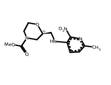 COC(=O)N1CCO[C@@H](CNc2ccc(C)nc2[N+](=O)[O-])C1